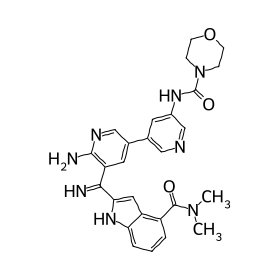 CN(C)C(=O)c1cccc2[nH]c(C(=N)c3cc(-c4cncc(NC(=O)N5CCOCC5)c4)cnc3N)cc12